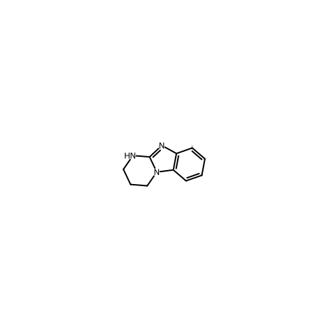 [c]1cccc2c1nc1n2CCCN1